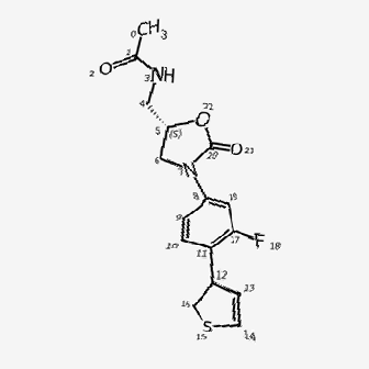 CC(=O)NC[C@H]1CN(c2ccc(C3C=CSC3)c(F)c2)C(=O)O1